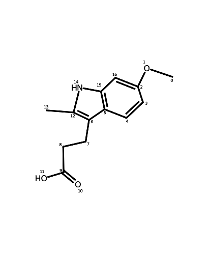 COc1ccc2c(CCC(=O)O)c(C)[nH]c2c1